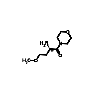 COCC[C@H](N)C(=O)N1CCOCC1